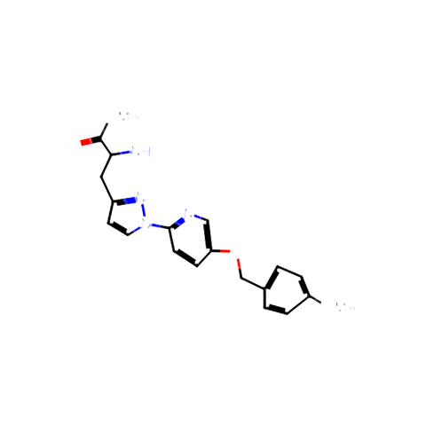 COC(=O)C(N)Cc1ccn(-c2ccc(OCc3ccc(OC)cc3)cn2)n1